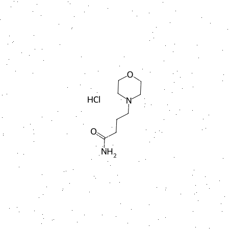 Cl.NC(=O)CCCN1CCOCC1